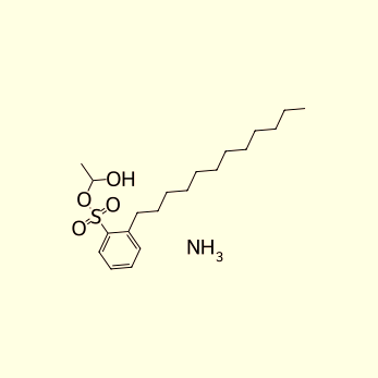 CCCCCCCCCCCCc1ccccc1S(=O)(=O)OC(C)O.N